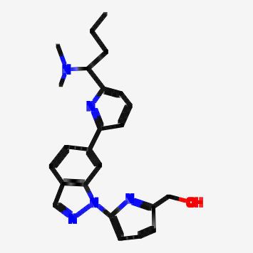 CCCC(c1cccc(-c2ccc3cnn(-c4cccc(CO)n4)c3c2)n1)N(C)C